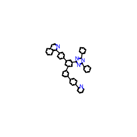 c1ccc(-c2nc(-c3ccccc3)nc(-c3cc(-c4ccc(-c5nccc6ccccc56)cc4)cc(-c4cccc(-c5ccc(-c6ccccn6)cc5)c4)c3)n2)cc1